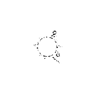 CCC(C)CCCCC(=O)N[C@@H]1C(=O)N[C@H](CCN)C(=O)N[C@@H](CC(=O)O)C(=O)NCC(=O)N[C@H](CC(N)=O)C(=O)N[C@H](CC(=O)O)C(=O)NCC(=O)N[C@@H](Cc2c[nH]c3ccccc23)C(=O)N[C@@H]([C@@H](C)CC)C(=O)N[C@@H](CCN)C(=O)N[C@@H](Cc2ccccc2)C(=O)O[C@@H]1C